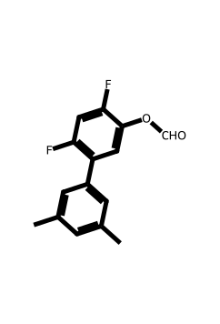 Cc1cc(C)cc(-c2cc(OC=O)c(F)cc2F)c1